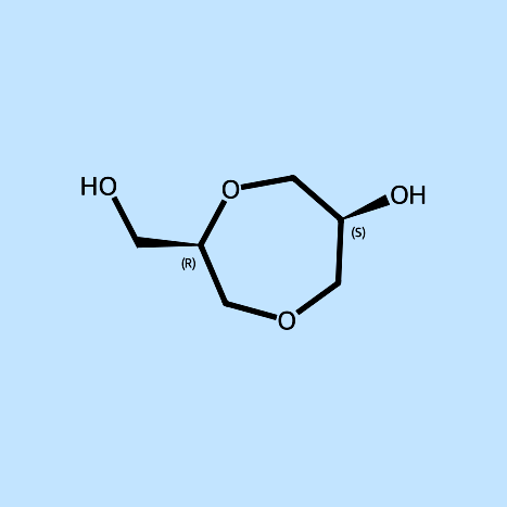 OC[C@@H]1COC[C@H](O)CO1